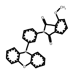 COc1cccc2c1C(=O)N(c1cccc(N3c4ccccc4Oc4ccccc43)c1)C2=O